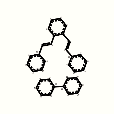 C(=C\c1ccccc1/C=C/c1ccccc1)/c1ccccc1.c1ccc(-c2ccccc2)cc1